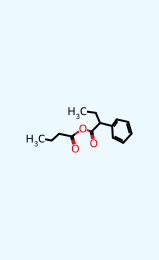 CCCC(=O)OC(=O)C(CC)c1ccccc1